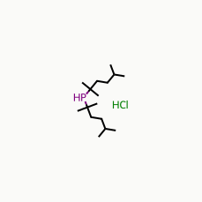 CC(C)CCC(C)(C)PC(C)(C)CCC(C)C.Cl